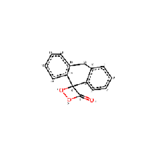 O=C1OOC12c1ccccc1Cc1ccccc12